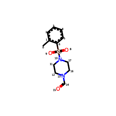 Cc1ccccc1S(=O)(=O)N1CCN(C=O)CC1